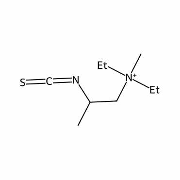 CC[N+](C)(CC)CC(C)N=C=S